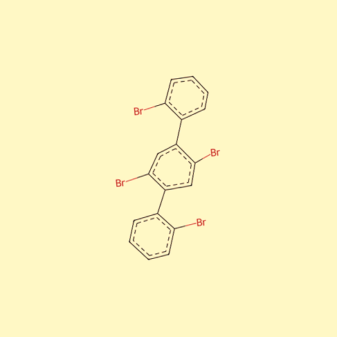 Brc1ccccc1-c1cc(Br)c(-c2ccccc2Br)cc1Br